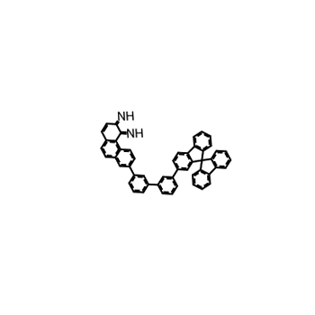 N=C1C=Cc2ccc3cc(-c4cccc(-c5cccc(-c6ccc7c(c6)C6(c8ccccc8-c8ccccc86)c6ccccc6-7)c5)c4)ccc3c2C1=N